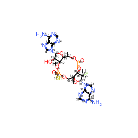 Nc1ncnc2c1ncn2[C@@H]1O[C@@H]2CO[PH](=O)O[C@H]3[C@@H](F)[C@H](n4cnc5c(N)ncnc54)O[C@@H]3CO[P@@](=O)(S)O[C@H]2[C@H]1O